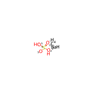 C.O=S(=O)(O)O.[NaH]